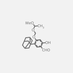 COC(C)OCOc1cc(O)c(C=O)cc1C12CC3CC(CC(C3)C1)C2